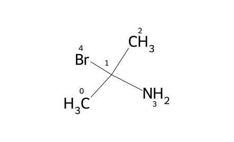 CC(C)(N)Br